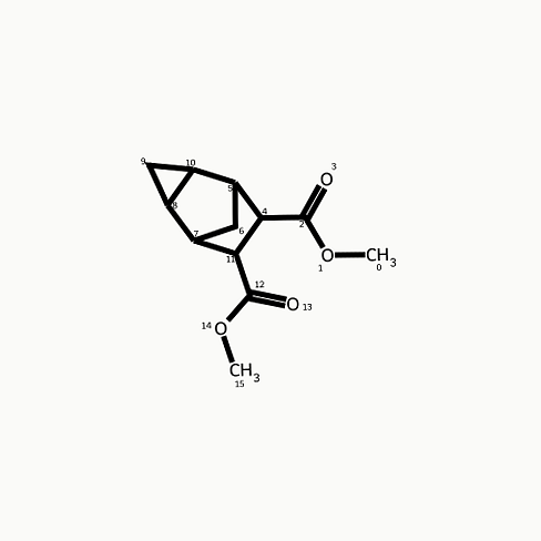 COC(=O)C1C2CC(C3CC32)C1C(=O)OC